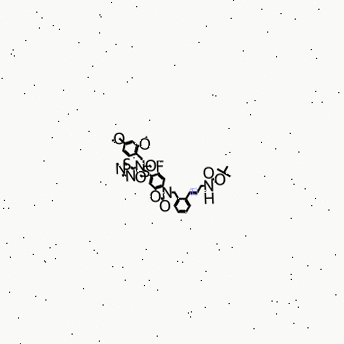 COc1ccc(CN(c2ncns2)S(=O)(=O)c2cc3oc(=O)n(Cc4ccccc4/C=C/CNC(=O)OC(C)(C)C)c3cc2F)c(OC)c1